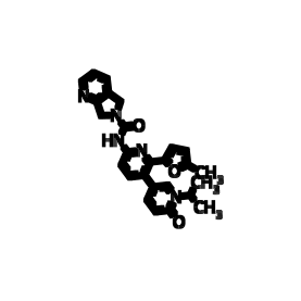 Cc1ccc(-c2nc(NC(=O)N3Cc4cccnc4C3)ccc2-c2ccc(=O)n(C(C)C)c2)o1